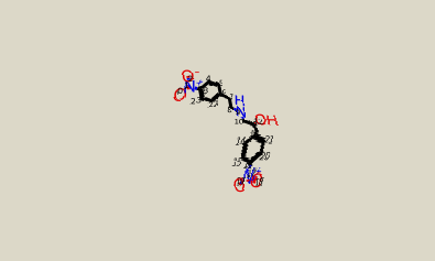 O=[N+]([O-])c1ccc(CCNCC(O)c2ccc([N+](=O)[O-])cc2)cc1